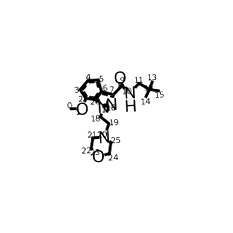 COc1cccc2c(C(=O)NCC(C)(C)C)nn(CCN3CCOCC3)c12